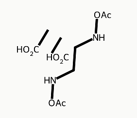 CC(=O)O.CC(=O)O.CC(=O)ONCCNOC(C)=O